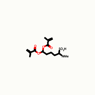 C=C(C)C(=O)OC(CCCC(NC)S(=O)(=O)O)OC(=O)C(=C)C